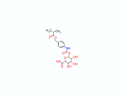 CC(C)C(=O)OCc1ccc(NC(=O)OC2OC(C(=O)O)C(O)C(O)C2O)cc1